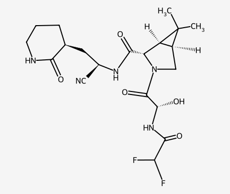 CC1(C)[C@@H]2[C@@H](C(=O)N[C@@H](C#N)C[C@@H]3CCCNC3=O)N(C(=O)[C@H](O)NC(=O)C(F)F)C[C@@H]21